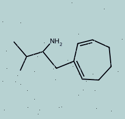 CC(C)C(N)CC1=CCCCC=C1